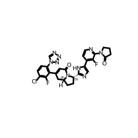 O=C1CCCN1c1nccc(-c2cnc([C@@H]3CC[C@@H]4CC(c5c(-n6cnnn6)ccc(Cl)c5F)=CC(=O)N43)[nH]2)c1F